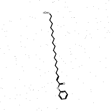 CCCCCCCCCCCCCCCCCCCCCCCCCCC=CC(=O)Oc1ccccc1